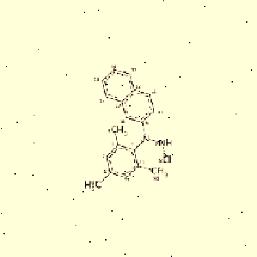 Cc1cc(C)c(N(NCl)c2ccc3ccccc3c2)c(C)c1